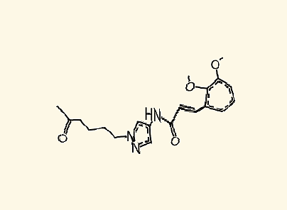 COc1cccc(/C=C/C(=O)Nc2cnn(CCCCC(C)=O)c2)c1OC